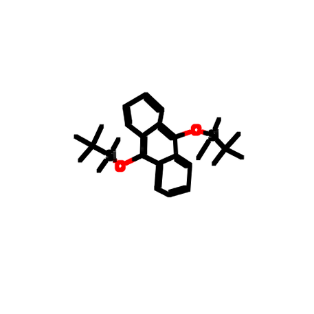 CC(C)(C)[Si](C)(C)Oc1c2ccccc2c(O[Si](C)(C)C(C)(C)C)c2ccccc12